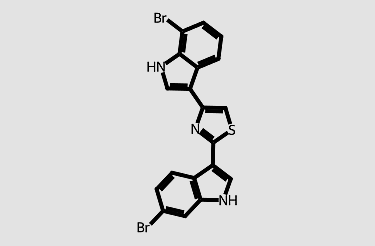 Brc1ccc2c(-c3nc(-c4c[nH]c5c(Br)cccc45)cs3)c[nH]c2c1